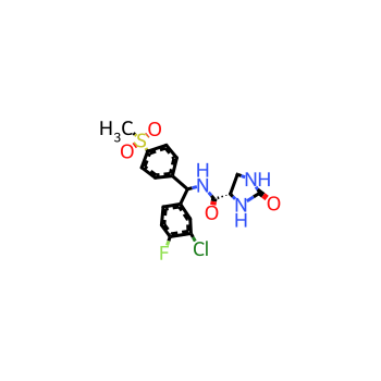 CS(=O)(=O)c1ccc(C(NC(=O)[C@@H]2CNC(=O)N2)c2ccc(F)c(Cl)c2)cc1